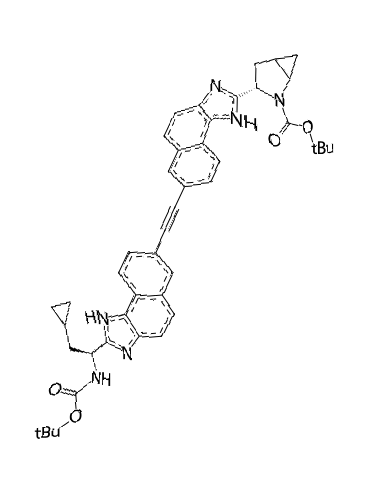 CC(C)(C)OC(=O)N[C@@H](CC1CC1)c1nc2ccc3cc(C#Cc4ccc5c(ccc6nc([C@@H]7CC8CC8N7C(=O)OC(C)(C)C)[nH]c65)c4)ccc3c2[nH]1